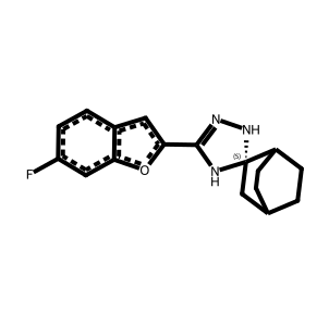 Fc1ccc2cc(C3=NN[C@]4(CC5CCC4CC5)N3)oc2c1